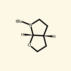 CC(C)(C)N1CC[C@@H]2CCO[C@@H]21